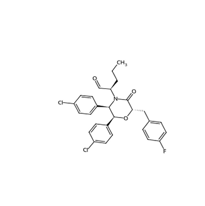 CCC[C@H](C=O)N1C(=O)[C@H](Cc2ccc(F)cc2)O[C@@H](c2ccc(Cl)cc2)[C@H]1c1ccc(Cl)cc1